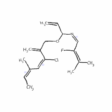 C=CC(/N=C\C(F)=C(C)C)OCC(=C)/C(Cl)=C\C(C)=C/C